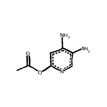 CC(=O)Oc1cc(N)c(N)cn1